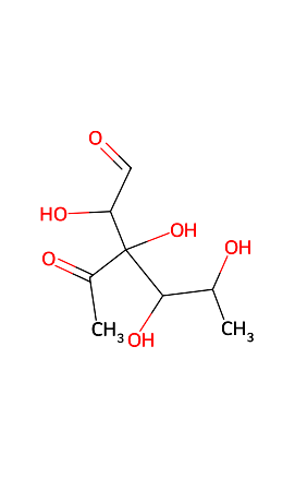 CC(=O)C(O)(C(O)C=O)C(O)C(C)O